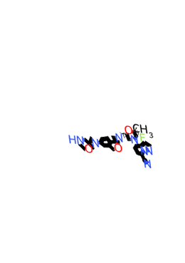 C[C@@H]1CN(c2ccc(C#N)n3ncc(F)c23)C[C@H](CN2CC3(C2)OCc2cc(N4CC5(CNCCO5)C4)ccc23)O1